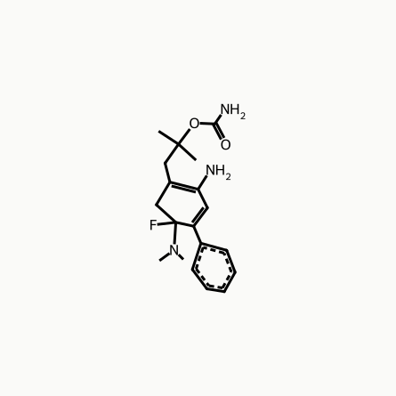 CN(C)C1(F)CC(CC(C)(C)OC(N)=O)=C(N)C=C1c1ccccc1